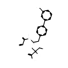 CC(CO)(C[C@@H](Cc1ccc(-c2cccc(Cl)c2)cc1)NC(=O)C=O)C(=O)O